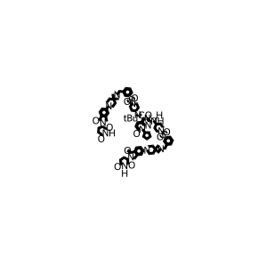 CC(C)(C)N(C(=O)O)C1CCN(S(=O)(=O)c2cccc(CN3CC4(CCN(c5ccc6c(c5)CN(C5CCC(=O)NC5=O)C6=O)CC4)C3)c2)CC1.O=C1CCC(N2Cc3cc(N4CCC5(CC4)CN(Cc4cccc(S(=O)(=O)N6CCC(Nc7ncc8ccc(=O)n(C9CCCC9)c8n7)CC6)c4)C5)ccc3C2=O)C(=O)N1